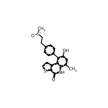 Cc1cc(O)c(-c2ccc(CC[S+](C)[O-])cc2)c2c1[nH]c(=O)c1sccc12